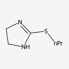 [CH2]CCSC1=NCCN1